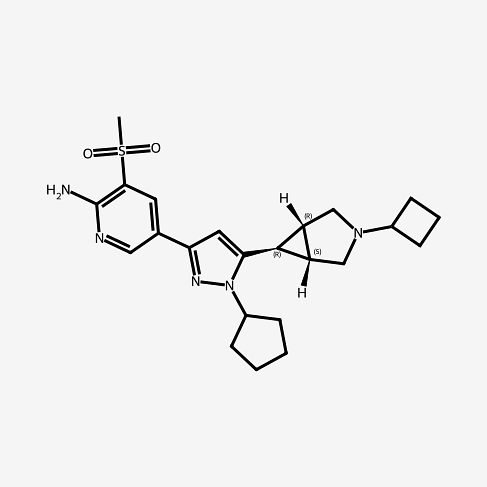 CS(=O)(=O)c1cc(-c2cc([C@H]3[C@@H]4CN(C5CCC5)C[C@@H]43)n(C3CCCC3)n2)cnc1N